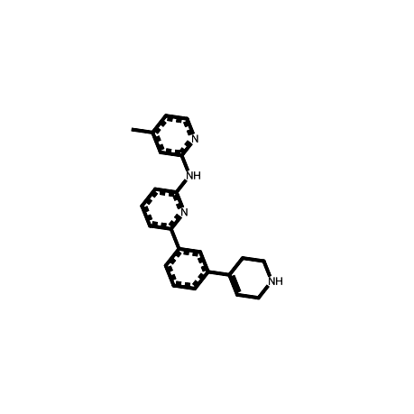 Cc1ccnc(Nc2cccc(-c3cccc(C4=CCNCC4)c3)n2)c1